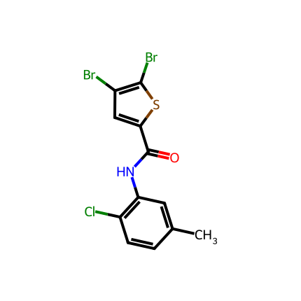 Cc1ccc(Cl)c(NC(=O)c2cc(Br)c(Br)s2)c1